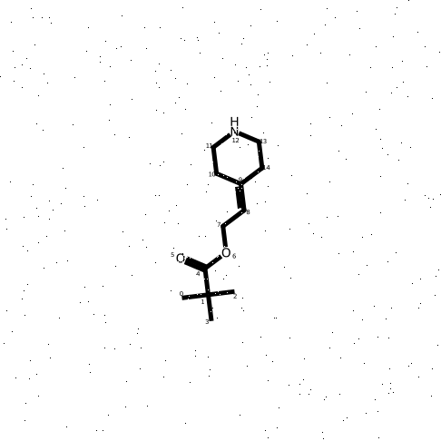 CC(C)(C)C(=O)OCC=C1CCNCC1